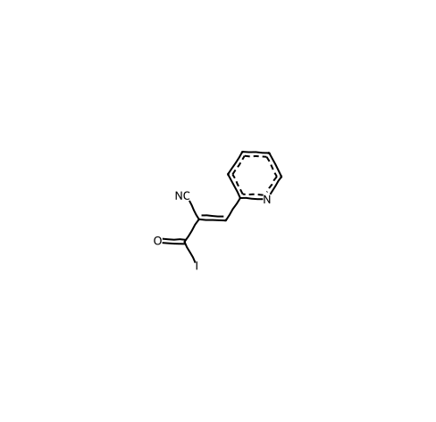 N#C/C(=C\c1ccccn1)C(=O)I